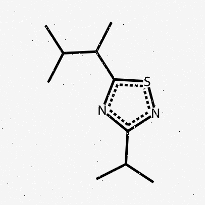 CC(C)c1nsc(C(C)C(C)C)n1